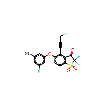 N#Cc1cc(F)cc(Oc2ccc3c(c2C#CCF)C(=O)C(F)(F)S3(=O)=O)c1